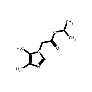 Cc1n[c]n(CC(=O)OC(C)C)c1C